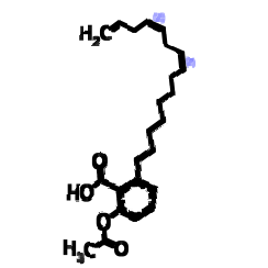 C=CC/C=C\C/C=C\CCCCCCCc1cccc(OC(C)=O)c1C(=O)O